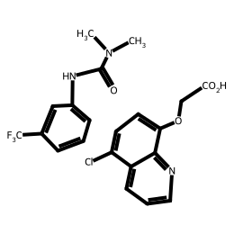 CN(C)C(=O)Nc1cccc(C(F)(F)F)c1.O=C(O)COc1ccc(Cl)c2cccnc12